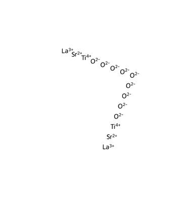 [La+3].[La+3].[O-2].[O-2].[O-2].[O-2].[O-2].[O-2].[O-2].[O-2].[O-2].[Sr+2].[Sr+2].[Ti+4].[Ti+4]